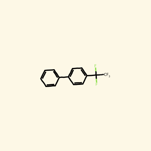 FC(F)(F)C(F)(F)c1ccc(-c2ccccc2)cc1